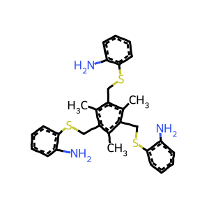 Cc1c(CSc2ccccc2N)c(C)c(CSc2ccccc2N)c(C)c1CSc1ccccc1N